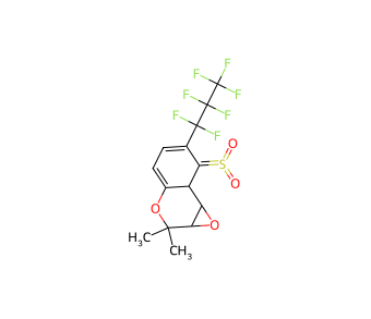 CC1(C)OC2=CC=C(C(F)(F)C(F)(F)C(F)(F)F)C(=S(=O)=O)C2C2OC21